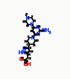 CN1CCN(c2cc(N3CCC(c4cc(CC(=O)O)[nH]n4)CC3)nc(N)n2)CC1